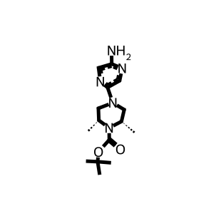 C[C@@H]1CN(c2cnc(N)cn2)C[C@H](C)N1C(=O)OC(C)(C)C